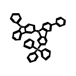 c1ccc(-c2ccc3c(c2)c2ccc([Si](c4ccccc4)(c4ccccc4)c4ccccc4)cc2n3-c2ccc3c(c2)c2ccccc2n3-c2ccccc2)cc1